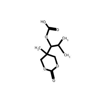 CC(C)C(OC(=O)O)C1(C)COC(=O)OC1